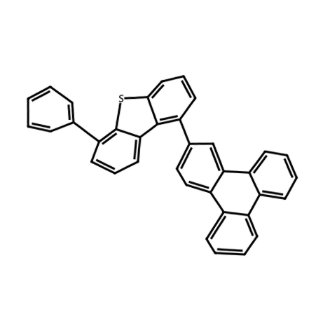 c1ccc(-c2cccc3c2sc2cccc(-c4ccc5c6ccccc6c6ccccc6c5c4)c23)cc1